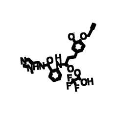 C#CCOc1ccc(/C=C/C(=O)Nc2ccccc2C(=O)NCc2cncn2C)cc1OC.O=C(O)C(F)(F)F